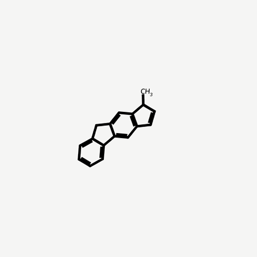 CC1C=Cc2cc3c(cc21)Cc1ccccc1-3